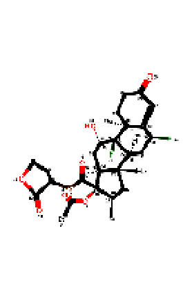 CCC(=O)O[C@]1(C(=O)SC2CCOC2=O)[C@H](C)C[C@H]2[C@@H]3C[C@H](F)C4=CC(=O)CC[C@]4(C)[C@@]3(F)[C@@H](O)C[C@@]21C